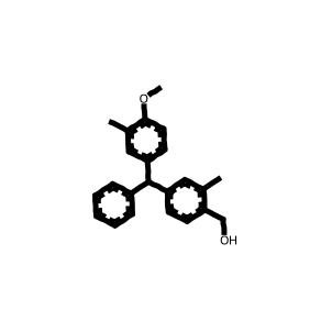 COc1ccc(C(c2ccccc2)c2ccc(CO)c(C)c2)cc1C